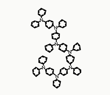 c1ccc(N(c2ccccc2)c2ccc(N(c3ccccc3)c3ccc(N(c4ccccc4)c4ccc(N(c5ccccc5)c5ccc(N(c6ccccc6)c6ccc(N(c7ccccc7)c7ccc(N(c8ccccc8)c8ccccc8)cc7)cc6)cc5)cc4)cc3)cc2)cc1